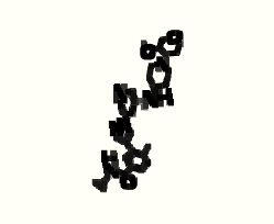 COC1COCCC1N1CCC(Nc2cncc(-n3cc(-c4cc(C(=O)NC5CC5)ccc4C)cn3)c2)CC1